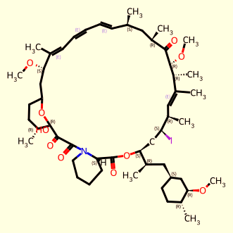 CO[C@H]1CC2CC[C@@H](C)[C@@](O)(O2)C(=O)C(=O)N2CCCC[C@H]2C(=O)O[C@H]([C@H](C)C[C@@H]2CC[C@@H](C)[C@H](OC)C2)C[C@H](I)[C@H](C)/C=C(\C)[C@@H](C)[C@@H](OC)C(=O)[C@H](C)C[C@H](C)/C=C/C=C/C=C/1C